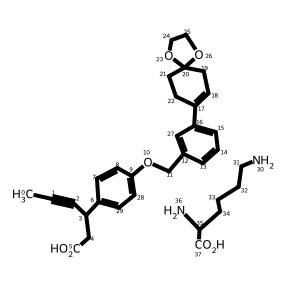 CC#CC(CC(=O)O)c1ccc(OCc2cccc(C3=CCC4(CC3)OCCO4)c2)cc1.NCCCCC(N)C(=O)O